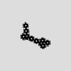 c1ccc(-c2ccc(-c3nc(-c4ccc(-c5ccc(-c6nc7ccccc7c7c(-c8ccccc8)cccc67)cc5)cc4)nc4ccccc34)cc2)cc1